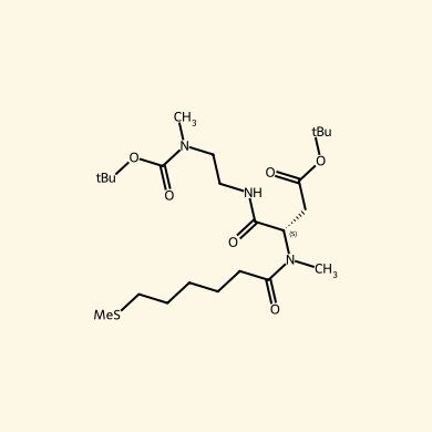 CSCCCCCC(=O)N(C)[C@@H](CC(=O)OC(C)(C)C)C(=O)NCCN(C)C(=O)OC(C)(C)C